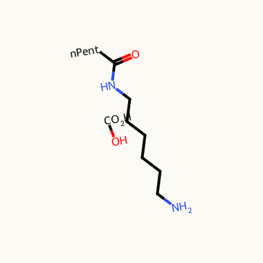 CCCCCC(=O)NCCCCCCN.O=C(O)O